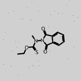 CCOC(=S)N(C)N1C(=O)c2ccccc2C1=O